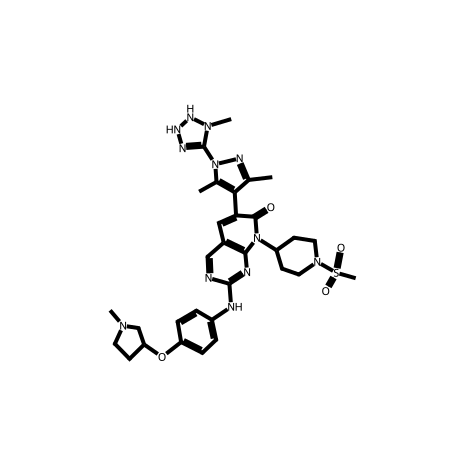 Cc1nn(C2=NNNN2C)c(C)c1-c1cc2cnc(Nc3ccc(OC4CCN(C)C4)cc3)nc2n(C2CCN(S(C)(=O)=O)CC2)c1=O